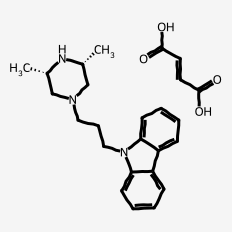 C[C@@H]1CN(CCCn2c3ccccc3c3ccccc32)C[C@H](C)N1.O=C(O)/C=C/C(=O)O